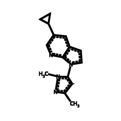 Cc1[c]c(-n2ccc3cc(C4CC4)cnc32)n(C)n1